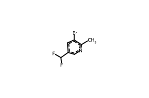 Cc1ncc(C(F)F)cc1Br